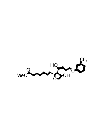 COC(=O)CCCCCC[C@@H]1OC[C@H](O)[C@@H]1/C(O)=C\CCOc1cccc(C(F)(F)F)c1